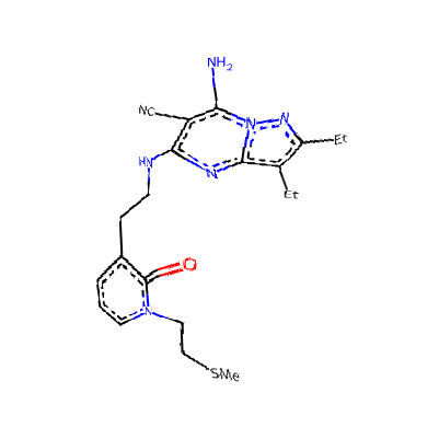 CCc1nn2c(N)c(C#N)c(NCCc3cccn(CCSC)c3=O)nc2c1CC